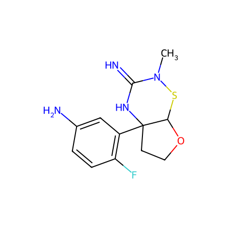 CN1SC2OCCC2(c2cc(N)ccc2F)NC1=N